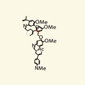 C=C(C)c1cc(OC)c(OCCCOc2cc(/N=C\[C@@H](C)C/C(=C\C)c3ccc(NC)cc3)c(C(C)=O)cc2OC)cc1/N=C\[C@@H](C)C/C(=C\C)c1ccc(OC)cc1